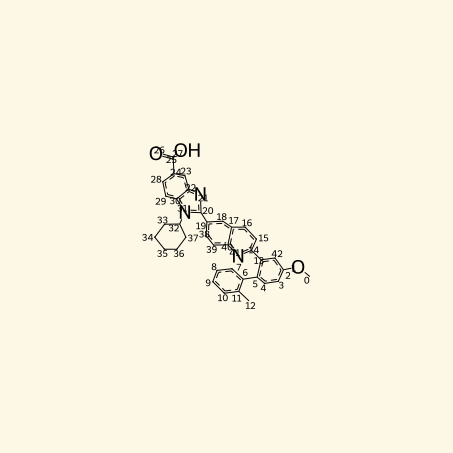 COc1ccc(-c2ccccc2C)c(-c2ccc3cc(-c4nc5cc(C(=O)O)ccc5n4C4CCCCC4)ccc3n2)c1